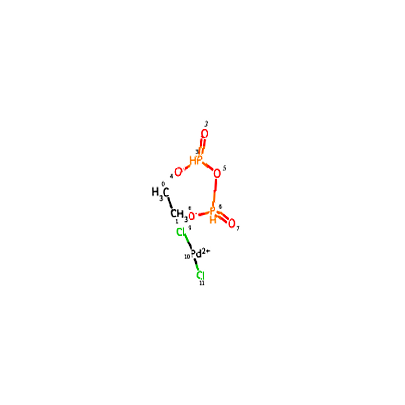 CC.O=[PH]([O-])O[PH](=O)[O-].[Cl][Pd+2][Cl]